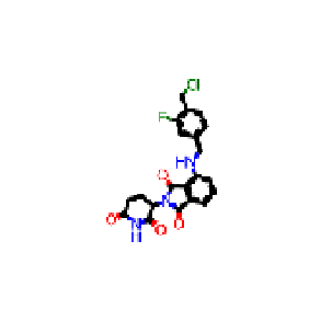 O=C1CCC(N2C(=O)c3cccc(NCc4ccc(CCl)c(F)c4)c3C2=O)C(=O)N1